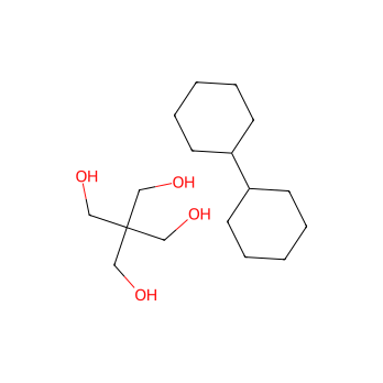 C1CCC(C2CCCCC2)CC1.OCC(CO)(CO)CO